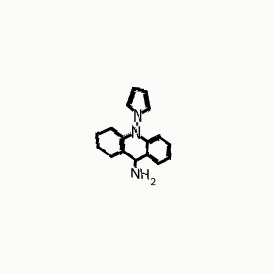 NC1C2=C(CCCC2)N(n2cccc2)c2ccccc21